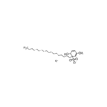 CCCCCCCCCCCCCCCCCCC1(S(=O)(=O)[O-])C=C(O)C=CC1O.[K+]